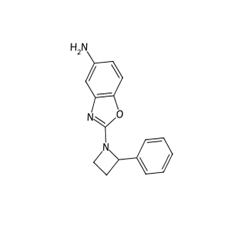 Nc1ccc2oc(N3CCC3c3ccccc3)nc2c1